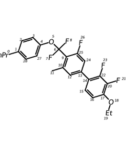 CCCc1ccc(OC(F)(F)c2c(C)cc(-c3ccc(OCC)c(F)c3F)cc2F)cc1